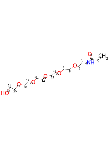 C=CC(=O)NCCOCCOCCOCCOCCOCCO